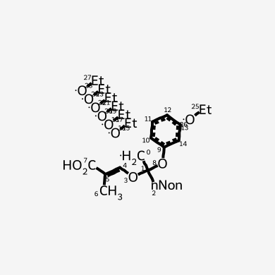 [CH2]C(CCCCCCCCC)(OC=C(C)C(=O)O)Oc1ccccc1.[CH2]C[O].[CH2]C[O].[CH2]C[O].[CH2]C[O].[CH2]C[O].[CH2]C[O].[CH2]C[O]